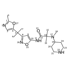 Cc1ncc(C(C)(C)c2cc(NC(=O)C(C)(C)N(C)C3CCNCC3)on2)o1